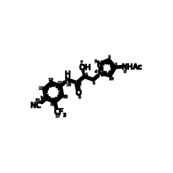 CC(=O)Nc1cnn(C[C@H](O)C(=O)Nc2ccc(C#N)c(C(F)(F)F)c2)c1